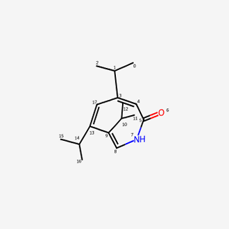 CC(C)C1=C/C(=O)N/C=C(C(C)C)/C(C(C)C)=C\1